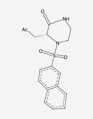 CC(=O)C[C@@H]1C(=O)NCCN1S(=O)(=O)c1ccc2ccccc2c1